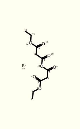 CCOC(=O)CC(=O)OC(=O)CC(=O)OCC.[K]